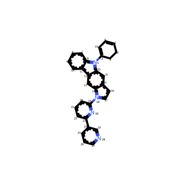 C1=CCCC(n2c3ccccc3c3cc4c(ccn4-c4cccc(-c5cccnc5)n4)cc32)=C1